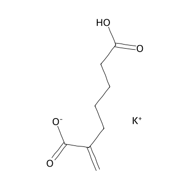 C=C(CCCCC(=O)O)C(=O)[O-].[K+]